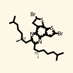 CC(C)CCC[C@H](C)Cc1nc2c3c(c4sc(Br)cc4c2nc1C[C@@H](C)CCCC(C)C)SC(Br)C3